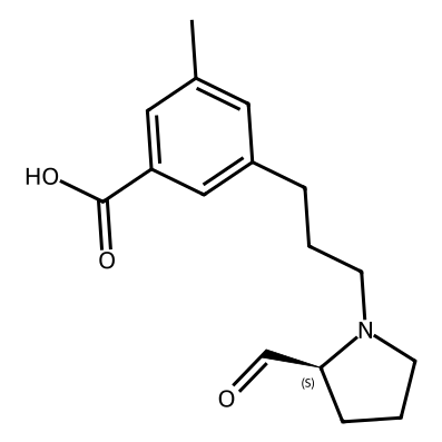 Cc1cc(CCCN2CCC[C@H]2C=O)cc(C(=O)O)c1